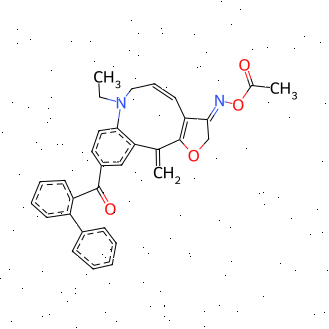 C=C1C2=C(/C=C\CN(CC)c3ccc(C(=O)c4ccccc4-c4ccccc4)cc31)/C(=N/OC(C)=O)CO2